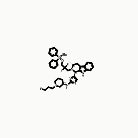 C[C@@H]1Cc2c([nH]c3ccccc23)[C@@H](c2cnc(N[C@@H]3CCCN(CCCF)C3)s2)N1CC(F)(F)CO[Si](c1ccccc1)(c1ccccc1)C(C)(C)C